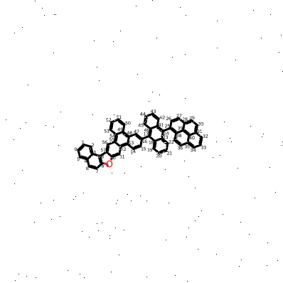 c1ccc2c(c1)ccc1oc3cc4c5ccc(-c6c7ccccc7c(-c7ccc8ccc9cccc%10ccc7c8c9%10)c7ccccc67)cc5c5ccccc5c4cc3c12